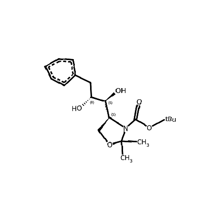 CC(C)(C)OC(=O)N1[C@H]([C@H](O)[C@H](O)Cc2ccccc2)COC1(C)C